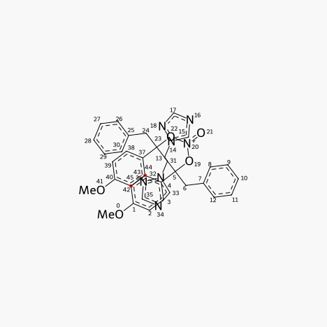 COc1ccc(C(Cc2ccccc2)(Cn2cncn2)O[N+](=O)OC(Cc2ccccc2)(Cn2cncn2)c2ccc(OC)cc2)cc1